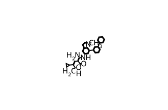 C=C/C(=C\C(C(=O)O)=C(/N)Nc1cc(-c2cccc(-c3ccccc3)c2)c2c(ccn2C)c1)C1CC1